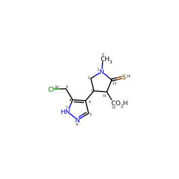 CN1CC(c2cn[nH]c2CCl)C(C(=O)O)C1=S